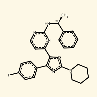 C[C@H](Nc1nccc(-c2oc(N3CCCCC3)nc2-c2ccc(F)cc2)n1)c1ccccc1